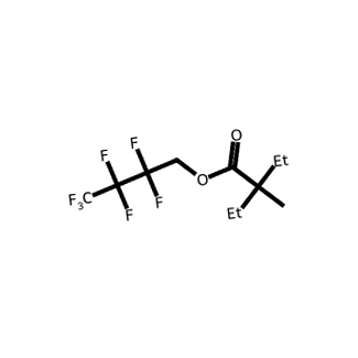 CCC(C)(CC)C(=O)OCC(F)(F)C(F)(F)C(F)(F)F